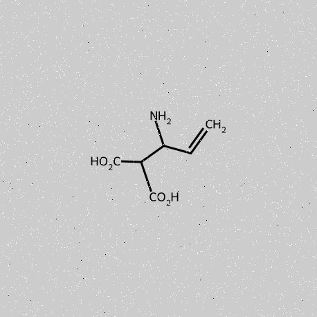 C=CC(N)C(C(=O)O)C(=O)O